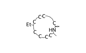 C=C1CCCCCCCCC(CC)CCCCCCCC(C)N1